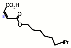 CC(C)CCCCCCOC(=O)/C=C\C(=O)O